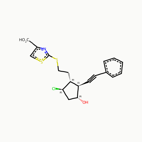 O=C(O)c1csc(SCC[C@@H]2[C@@H](C#Cc3ccccc3)[C@H](O)C[C@H]2Cl)n1